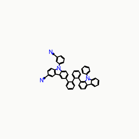 N#Cc1cccc(-n2c3ccc(C#N)cc3c3cc(-c4ccccc4-c4ccccc4-c4cccc5c6ccccc6n(-c6ccccc6)c45)ccc32)c1